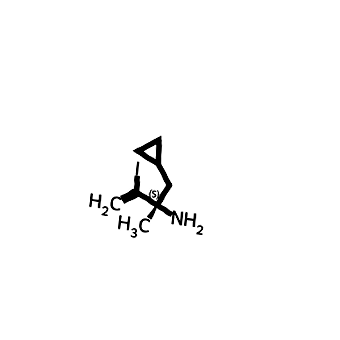 C=C(I)[C@@](C)(N)CC1CC1